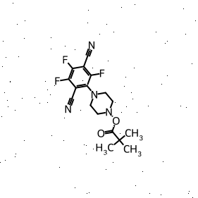 CC(C)(C)C(=O)ON1CCN(c2c(F)c(C#N)c(F)c(F)c2C#N)CC1